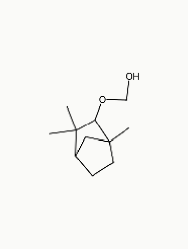 CC12CCC(C1)C(C)(C)C2OCO